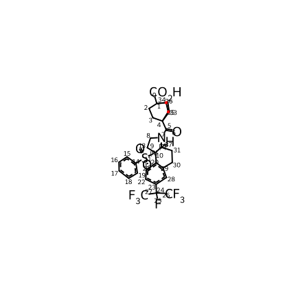 O=C(O)C12CCC(C(=O)N3CC[C@@]4(S(=O)(=O)c5ccccc5)c5ccc(C(F)(C(F)(F)F)C(F)(F)F)cc5CC[C@@H]34)(CC1)CC2